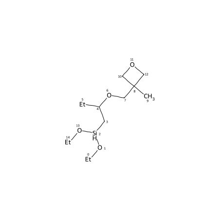 CCO[SiH](CC(CC)OCC1(C)COC1)OCC